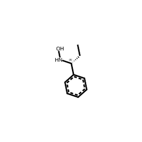 CC[C@@H](NO)c1ccccc1